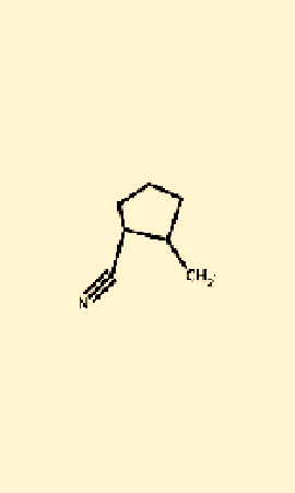 [CH2]C1CCCC1C#N